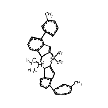 Cc1cccc(-c2cccc3c2C=C2[CH]3[Hf]([CH3])([CH3])[CH]3C(=Cc4c(-c5cccc(C)c5)cccc43)[Si]2(C(C)C)C(C)C)c1